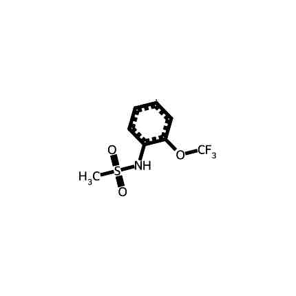 CS(=O)(=O)Nc1cc[c]cc1OC(F)(F)F